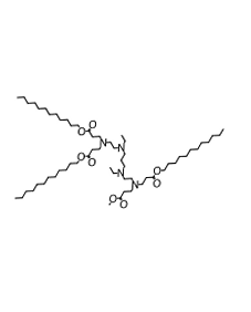 CCCCCCCCCCCCOC(=O)CCN(CCC(=O)OC)CCN(CC)CCCN(CC)CCN(CCC(=O)OCCCCCCCCCCCC)CCC(=O)OCCCCCCCCCCCC